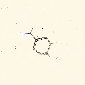 COc1ccc(C(N)C(C)(C)C)cc1OC.Cl